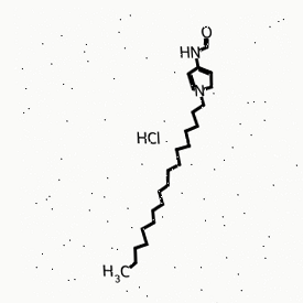 CCCCCCCCCCCCCCCCCCN1C=CC(NC=O)=CC1.Cl